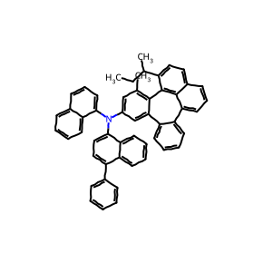 CCC(C)c1ccc2cccc3c2c1-c1c(C)cc(N(c2cccc4ccccc24)c2ccc(-c4ccccc4)c4ccccc24)cc1-c1ccccc1-3